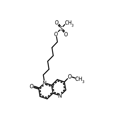 COc1cnc2ccc(=O)n(CCCCCCOS(C)(=O)=O)c2c1